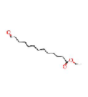 CCOC(=O)CCCCCCCCCCCC=O